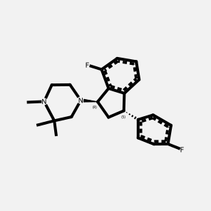 CN1CCN([C@@H]2C[C@@H](c3ccc(F)cc3)c3cccc(F)c32)CC1(C)C